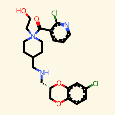 O=C(c1cccnc1Cl)[N+]1(CCO)CCC(CNC[C@H]2COc3ccc(Cl)cc3O2)CC1